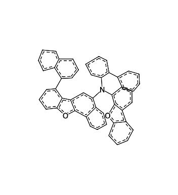 c1ccc(-c2ccccc2N(c2cc3c(oc4cccc(-c5cccc6ccccc56)c43)c3ccccc23)c2cccc3c2oc2ccccc23)cc1